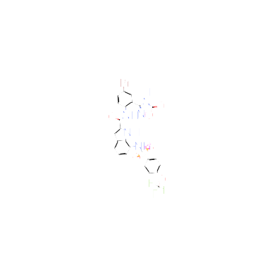 O=C(Nc1ccc(Br)cc1-c1noc(=O)[nH]1)c1cc2cccc(NS(=O)(=O)c3ccc(OC(F)(F)F)cc3)c2[nH]1